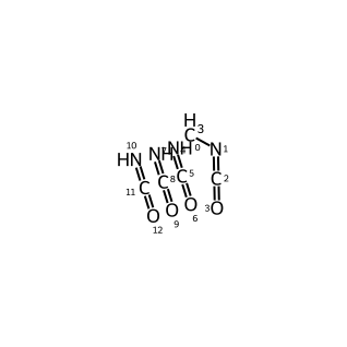 CN=C=O.N=C=O.N=C=O.N=C=O